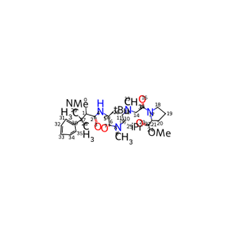 CNC(C(=O)N[C@H](C(=O)N(C)[C@H](CN(C)CC(=O)N1CCCC1C(=O)OC)C(C)C)C(C)(C)C)C(C)(C)c1ccccc1